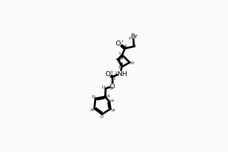 O=C(NC12CC(C(=O)CBr)(C1)C2)OCc1ccccc1